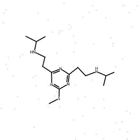 CSc1nc(CCNC(C)C)nc(CCNC(C)C)n1